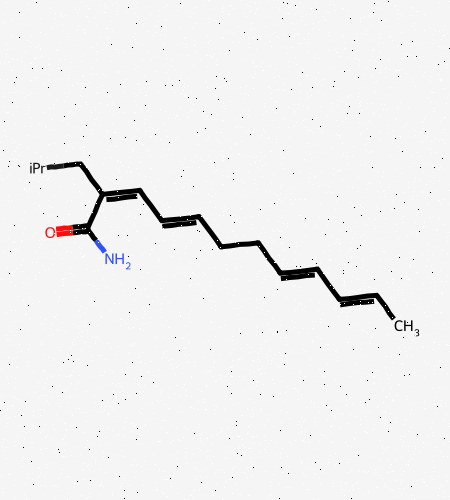 CC=CC=CCCC=CC=C(CC(C)C)C(N)=O